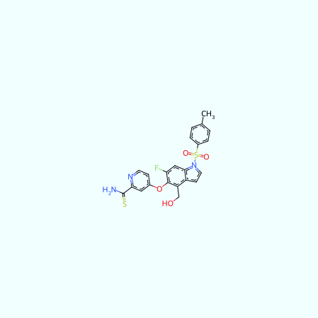 Cc1ccc(S(=O)(=O)n2ccc3c(CO)c(Oc4ccnc(C(N)=S)c4)c(F)cc32)cc1